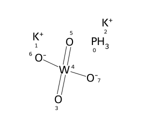 P.[K+].[K+].[O]=[W](=[O])([O-])[O-]